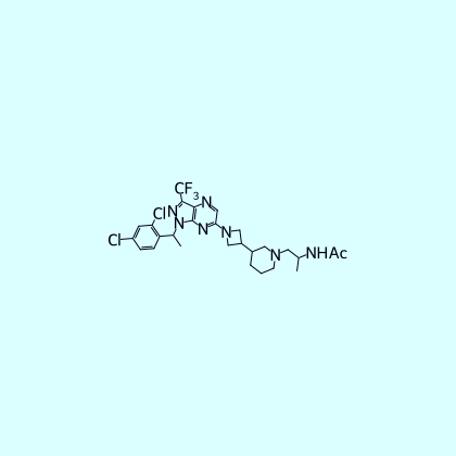 CC(=O)NC(C)CN1CCCC(C2CN(c3cnc4c(C(F)(F)F)nn(C(C)c5ccc(Cl)cc5Cl)c4n3)C2)C1